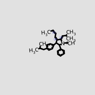 C#CN1C(=C\C(C)C)/C(=C\C=C/C)C(c2ccc(CC(C)C)cc2)C1c1ccccc1